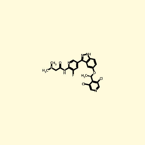 C[C@@H](Oc1ccc2[nH]nc(-c3cnc(NC(=O)CN(C)C)c(F)c3)c2c1)c1c(Cl)cncc1Cl